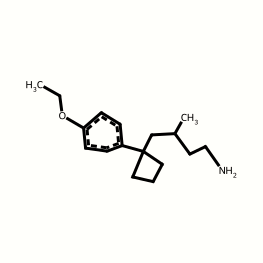 CCOc1ccc(C2(CC(C)CCN)CCC2)cc1